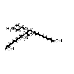 CCCCCCCCC=CCCCCCCCCOCC(OCCN1CCN(C)CC1)C(OCCCCCCCCC=CCCCCCCCC)C(N)=O